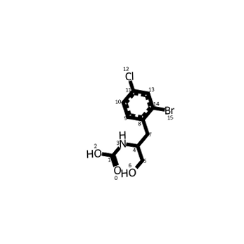 O=C(O)NC(CO)Cc1ccc(Cl)cc1Br